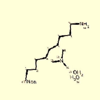 CCCCCCCCCCCCCCCCCCN.CN(C)C.O.O